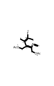 C=N/C(COC(C)=O)=C(COC(C)=O)\C(C)=C(/C)F